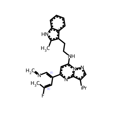 C=N/C=C(\C=C(/C)F)c1cc(NCCc2c(C)[nH]c3ccccc23)n2ncc(C(C)C)c2n1